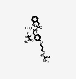 N=C(N)NOCCCOc1ccc(C[C@H](NS(=O)(=O)Cc2ccccc2[N+](=O)[O-])C(=O)O)cc1.O=C(O)C(F)(F)F